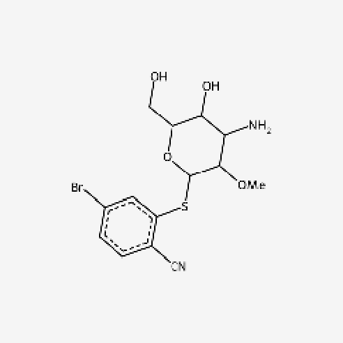 COC1C(Sc2cc(Br)ccc2C#N)OC(CO)C(O)C1N